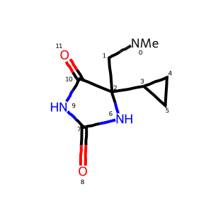 CNCC1(C2CC2)NC(=O)NC1=O